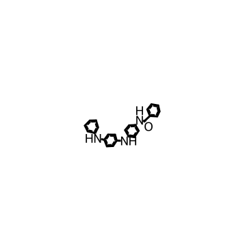 O=C(Nc1ccc(Nc2ccc(Nc3ccccc3)cc2)cc1)c1ccccc1